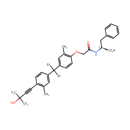 CCC(CC)(c1ccc(C#CC(O)(C(F)(F)F)C(F)(F)F)c(C)c1)c1ccc(OCC(=O)N[C@@H](Cc2ccccc2)C(=O)O)c(C)c1